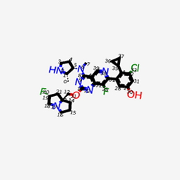 C[C@@H]1NCC[C@@H]1N(C)c1nc(OC[C@@]23CCCN2C[C@H](F)C3)nc2c(F)c(-c3cc(O)cc(Cl)c3C3CC3)ncc12